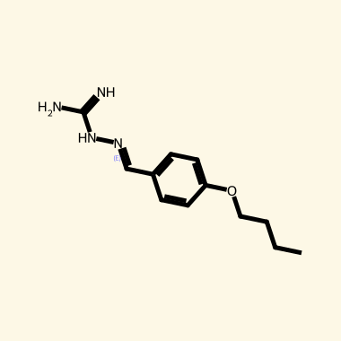 CCCCOc1ccc(/C=N/NC(=N)N)cc1